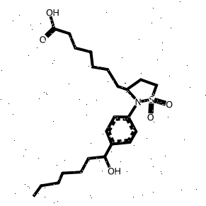 CCCCCCC(O)c1ccc(N2C(CCCCCCC(=O)O)CCS2(=O)=O)cc1